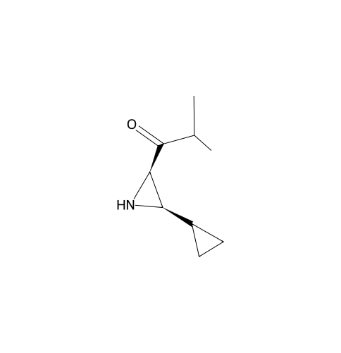 CC(C)C(=O)[C@@H]1N[C@@H]1C1CC1